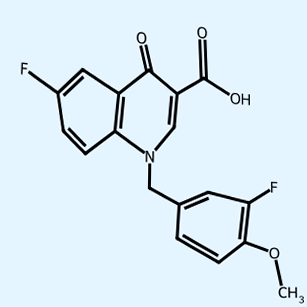 COc1ccc(Cn2cc(C(=O)O)c(=O)c3cc(F)ccc32)cc1F